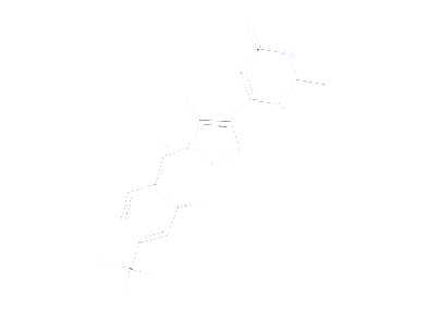 Cc1nc(-c2cnn([C@@H](C)c3ccc(C(F)(F)F)cc3F)c2C)cc(=O)[nH]1